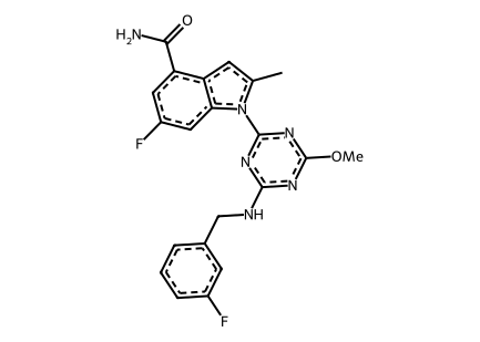 COc1nc(NCc2cccc(F)c2)nc(-n2c(C)cc3c(C(N)=O)cc(F)cc32)n1